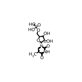 Cc1cn([C@@H]2OC(COP(=O)(O)O)[C@@H](O)[C@H]2O)c(=O)[nH]c1=O